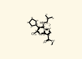 COC(=O)c1cnn2c(N[C@@H](C)C(C)C)c(C3CCCC3)c(Cl)nc12